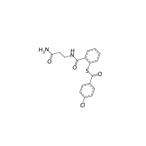 NC(=O)CCNC(=O)c1ccccc1SC(=O)c1ccc(Cl)cc1